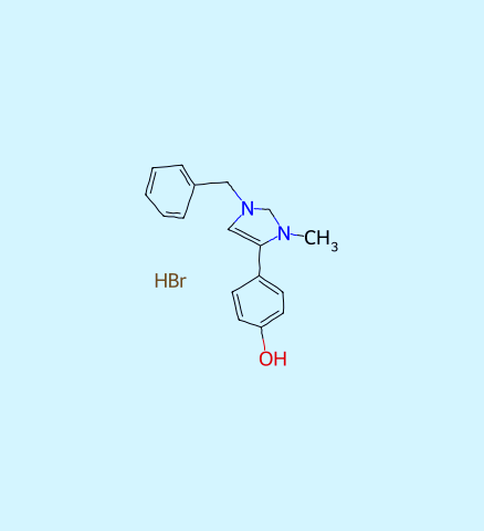 Br.CN1CN(Cc2ccccc2)C=C1c1ccc(O)cc1